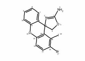 NC1=NC2(CO1)c1ccccc1Oc1ccc(Br)c(I)c12